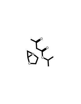 C1CN2CC2O1.CC(=O)CC(=O)OC(C)C